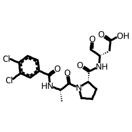 C[C@H](NC(=O)c1ccc(Cl)c(Cl)c1)C(=O)N1CCC[C@H]1C(=O)N[C@H](C=O)CC(=O)O